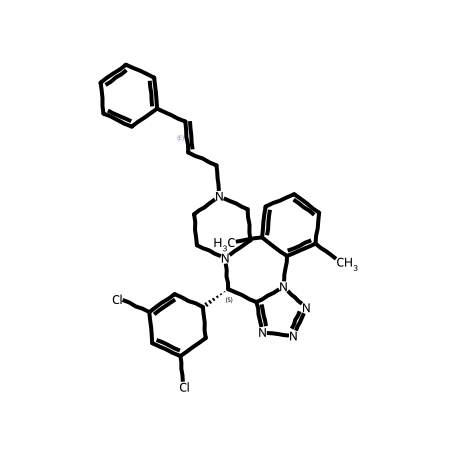 Cc1cccc(C)c1-n1nnnc1[C@H](C1C=C(Cl)C=C(Cl)C1)N1CCN(C/C=C/c2ccccc2)CC1